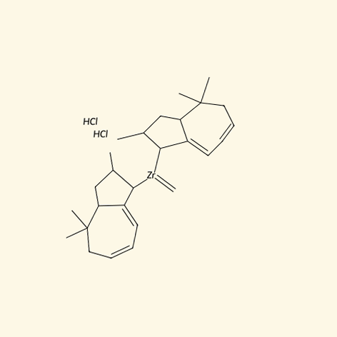 Cl.Cl.[CH2]=[Zr]([CH]1C2=CC=CCC(C)(C)C2CC1C)[CH]1C2=CC=CCC(C)(C)C2CC1C